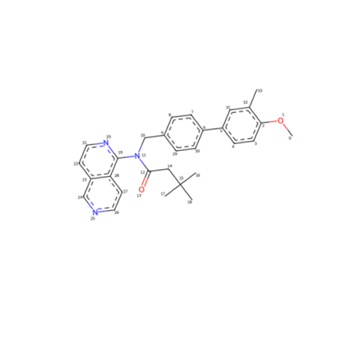 COc1ccc(-c2ccc(CN(C(=O)CC(C)(C)C)c3nccc4cnccc34)cc2)cc1C